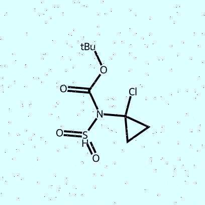 CC(C)(C)OC(=O)N([SH](=O)=O)C1(Cl)CC1